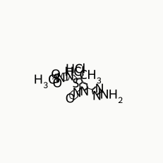 Cc1c(CN2CCN(S(C)(=O)=O)CC2)sc2c(N3CCOCC3)nc(-c3cnc(N)nc3)cc12.Cl.Cl